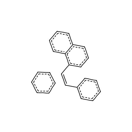 C(=C/c1cccc2ccccc12)/c1ccccc1.c1ccccc1